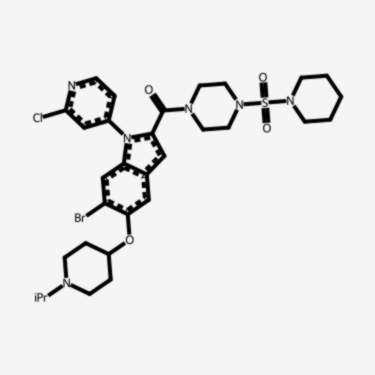 CC(C)N1CCC(Oc2cc3cc(C(=O)N4CCN(S(=O)(=O)N5CCCCC5)CC4)n(-c4ccnc(Cl)c4)c3cc2Br)CC1